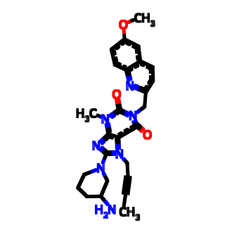 CC#CCn1c(N2CCCC(N)C2)nc2c1c(=O)n(Cc1ccc3cc(OC)ccc3n1)c(=O)n2C